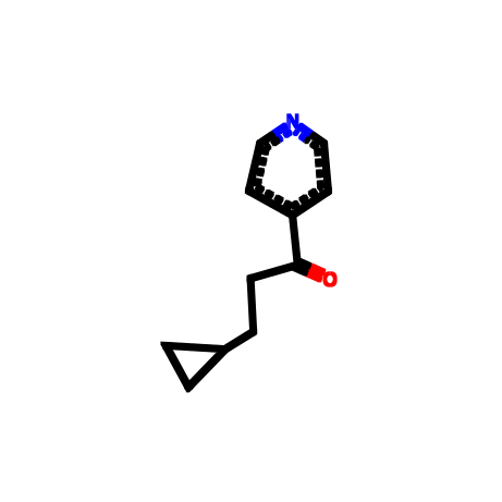 O=C(CCC1CC1)c1ccncc1